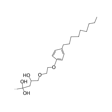 [CH2]C(O)(O)CC(O)COCCOc1ccc(CCCCCCCCC)cc1